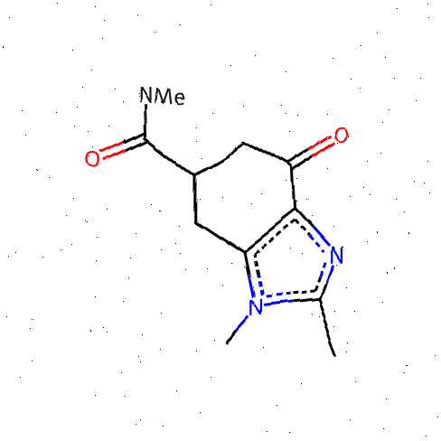 CNC(=O)C1CC(=O)c2nc(C)n(C)c2C1